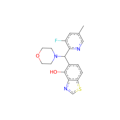 Cc1cnc(C(c2ccc3scnc3c2O)N2CCOCC2)c(F)c1